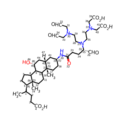 CC(CCC(=O)O)[C@H]1CCC2C3C(CC[C@@]21C)[C@@]1(C)CC[C@H](NC(=O)CC[C@@H](C=O)N(CCN(CC=O)CC=O)CCN(CC(=O)O)CC(=O)O)C[C@H]1C[C@H]3O